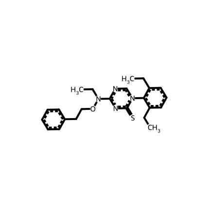 CCc1cccc(CC)c1-n1cnc(N(CC)OCCc2ccccc2)nc1=S